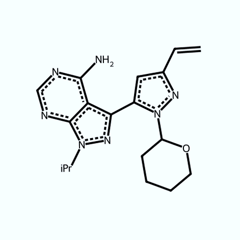 C=Cc1cc(-c2nn(C(C)C)c3ncnc(N)c23)n(C2CCCCO2)n1